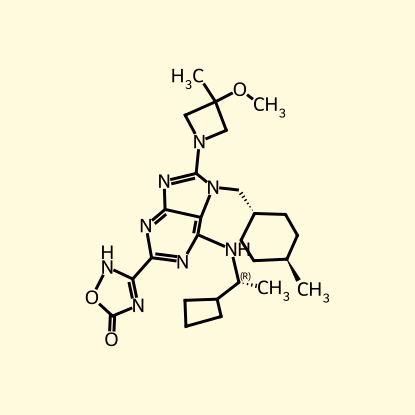 COC1(C)CN(c2nc3nc(-c4nc(=O)o[nH]4)nc(N[C@H](C)C4CCC4)c3n2C[C@H]2CC[C@H](C)CC2)C1